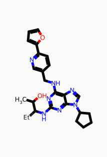 CCC(Nc1nc(NCc2ccc(-c3ccco3)nc2)c2ncn(C3CCCC3)c2n1)C(C)O